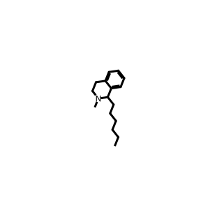 CCCCCCC1c2ccccc2CCN1C